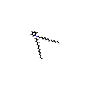 CCCCCCCCCCCCCCN(CCCCCCCCCCCCCC)c1ccccc1C